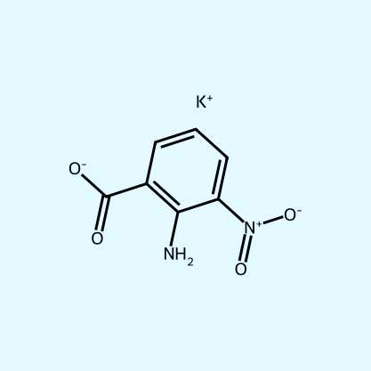 Nc1c(C(=O)[O-])cccc1[N+](=O)[O-].[K+]